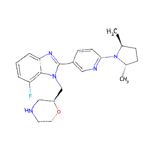 C[C@H]1CC[C@H](C)N1c1ccc(-c2nc3cccc(F)c3n2C[C@@H]2CNCCO2)cn1